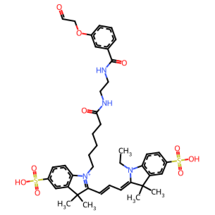 CCN1/C(=C\C=C\C2=[N+](CCCCCC(=O)NCCNC(=O)c3cccc(OCC=O)c3)c3ccc(S(=O)(=O)O)cc3C2(C)C)C(C)(C)c2cc(S(=O)(=O)O)ccc21